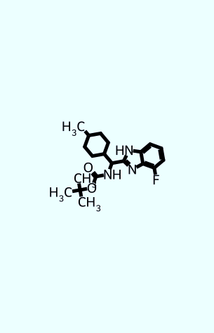 CC1CCC(C(NC(=O)OC(C)(C)C)c2nc3c(F)cccc3[nH]2)CC1